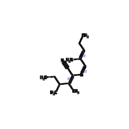 CC/C=C(N)/C=N\C(C#N)=C(/C)C(C)CC